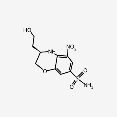 NS(=O)(=O)c1cc2c(c([N+](=O)[O-])c1)N[C@H](CCO)CO2